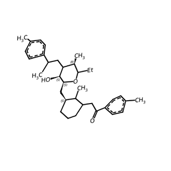 CCC1O[C@@H](C[C@@H]2CCCC(CC(=O)c3ccc(C)cc3)C2C)[C@@H](O)C(CC(C)c2ccc(C)cc2)[C@H]1C